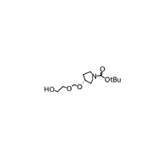 CC(C)(C)OC(=O)N1CC[C@@H](OCOCCO)C1